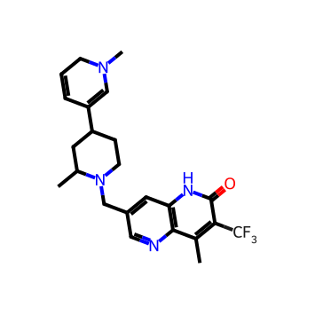 Cc1c(C(F)(F)F)c(=O)[nH]c2cc(CN3CCC(C4=CN(C)CC=C4)CC3C)cnc12